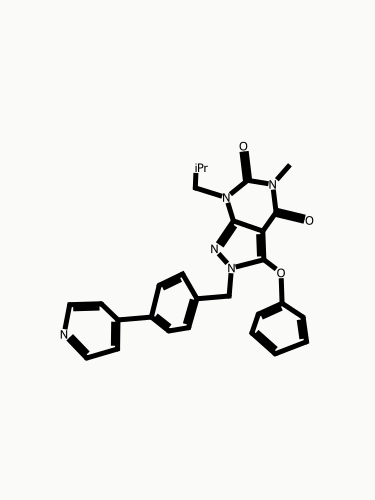 CC(C)Cn1c(=O)n(C)c(=O)c2c(Oc3ccccc3)n(Cc3ccc(-c4ccncc4)cc3)nc21